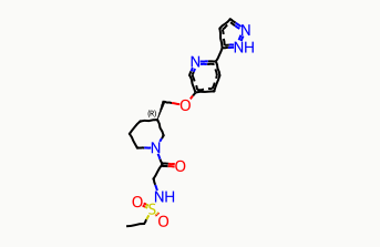 CCS(=O)(=O)NCC(=O)N1CCC[C@@H](COc2ccc(-c3ccn[nH]3)nc2)C1